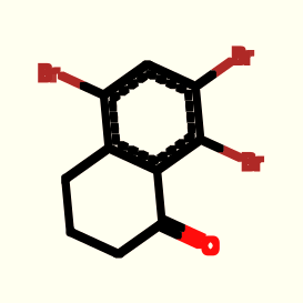 O=C1CCCc2c(Br)cc(Br)c(Br)c21